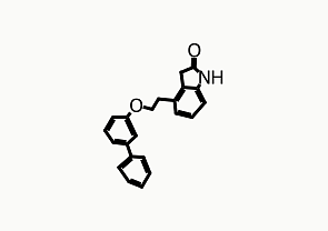 O=C1Cc2c(CCOc3cccc(-c4ccccc4)c3)cccc2N1